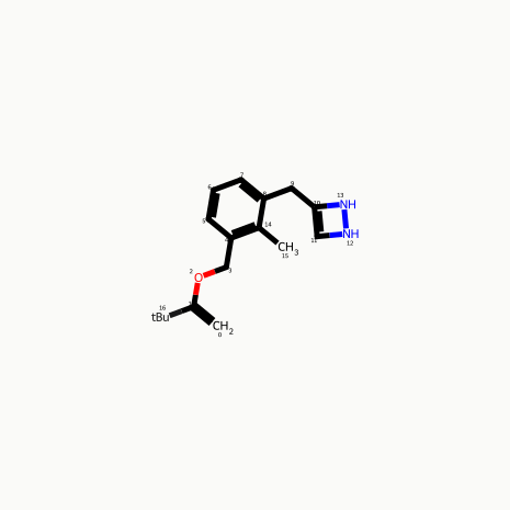 C=C(OCc1cccc(Cc2c[nH][nH]2)c1C)C(C)(C)C